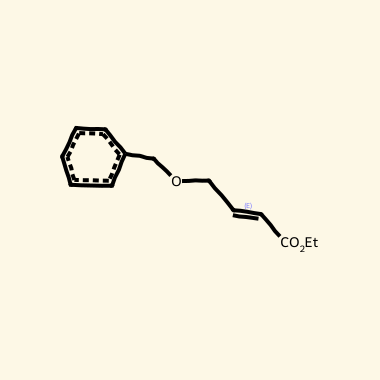 CCOC(=O)/C=C/COCc1ccccc1